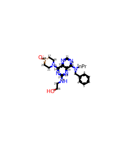 CCCN(Cc1ccccc1)c1ncnc2c(N3CC[S+]([O-])CC3)nc(NCCO)nc12